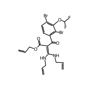 C=CCNC(NCC=C)=C(C(=O)OCC=C)C(=O)c1ccc(Br)c(OC(F)F)c1Br